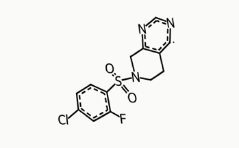 O=S(=O)(c1ccc(Cl)cc1F)N1CCc2[c]ncnc2C1